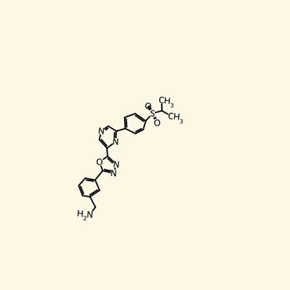 CC(C)S(=O)(=O)c1ccc(-c2cncc(-c3nnc(-c4cccc(CN)c4)o3)n2)cc1